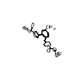 CC(C)(C)OC(=O)N1CCC(Cc2ccc(C(F)(F)F)cc2-c2cnn(C(=O)OC(C)(C)C)c2)CC1